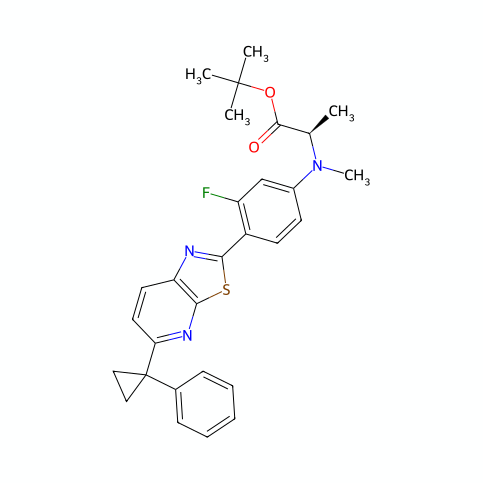 C[C@H](C(=O)OC(C)(C)C)N(C)c1ccc(-c2nc3ccc(C4(c5ccccc5)CC4)nc3s2)c(F)c1